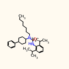 CCCCCCCN(C(=O)Nc1c(C(C)C)cccc1C(C)C)C1CCC(c2ccccc2)CC1